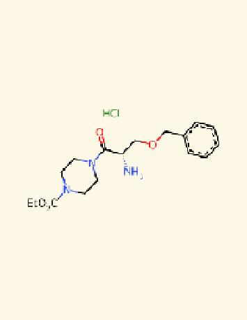 CCOC(=O)N1CCN(C(=O)[C@@H](N)COCc2ccccc2)CC1.Cl